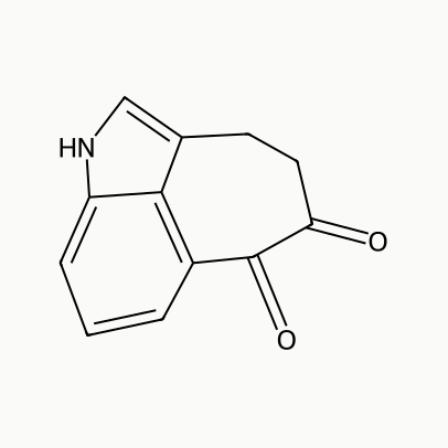 O=C1CCc2c[nH]c3cccc(c23)C1=O